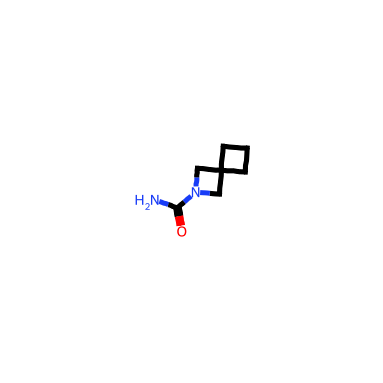 NC(=O)N1CC2(CCC2)C1